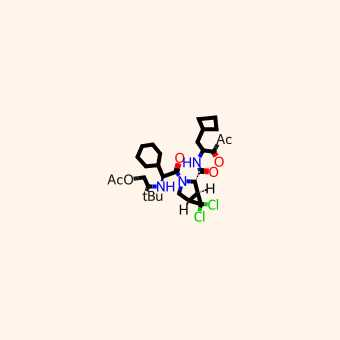 CC(=O)OCC(N[C@H](C(=O)N1C[C@H]2[C@@H]([C@H]1C(=O)NC(CC1CCC1)C(=O)C(C)=O)C2(Cl)Cl)C1CCCCC1)C(C)(C)C